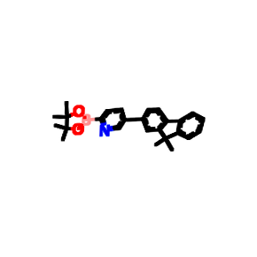 CC1(C)c2ccccc2-c2ccc(-c3ccc(B4OC(C)(C)C(C)(C)O4)nc3)cc21